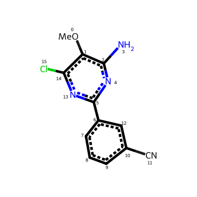 COc1c(N)nc(-c2cccc(C#N)c2)nc1Cl